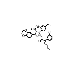 CCCCN(C(=O)CN1CC(c2ccc3c(c2)OCCO3)C(C(=O)O)C1c1ccc(CC)cc1)c1cccc(Cl)c1